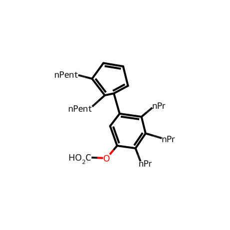 CCCCCc1cccc(-c2cc(OC(=O)O)c(CCC)c(CCC)c2CCC)c1CCCCC